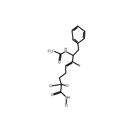 O=C(NC(Cc1ccccc1)/C(F)=C/CCC(Cl)(Cl)C(=O)NCl)C(Cl)(Cl)Cl